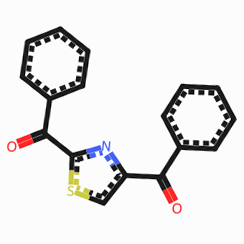 O=C(c1ccccc1)c1csc(C(=O)c2ccccc2)n1